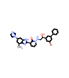 Cc1cc(-n2ccnc2)cc2[nH]c(-c3cccn(NCC(O)c4cc(Br)cc(-c5ccccc5)c4)c3=O)nc12